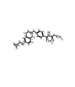 CCC(=O)N[C@@H](C)c1ccc(CN2CCc3cc(OCC4CC4)ccc3C2)cc1